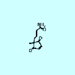 CC1(CCCC(N)=O)C(=O)C=CC1=O